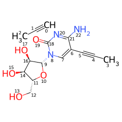 C#CC.CC#Cc1cn([C@@H]2O[C@H](CO)[C@@H](O)[C@H]2O)c(=O)nc1N